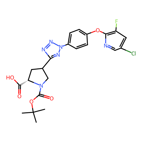 CC(C)(C)OC(=O)N1CC(c2nnn(-c3ccc(Oc4ncc(Cl)cc4F)cc3)n2)C[C@H]1C(=O)O